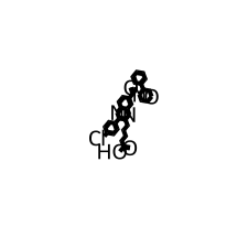 O=C(O)CCCCc1nc2cc(C(=O)N3CCOCC3c3ccccc3)ccc2nc1-c1ccc(Cl)cc1